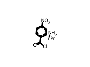 CCCN.O=C(Cl)c1ccc([N+](=O)[O-])cc1